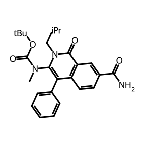 CC(C)Cn1c(N(C)C(=O)OC(C)(C)C)c(-c2ccccc2)c2ccc(C(N)=O)cc2c1=O